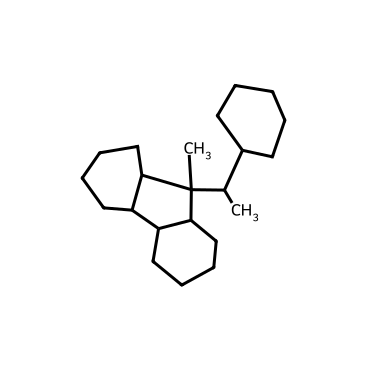 CC(C1CCCCC1)C1(C)C2CCCCC2C2CCCCC21